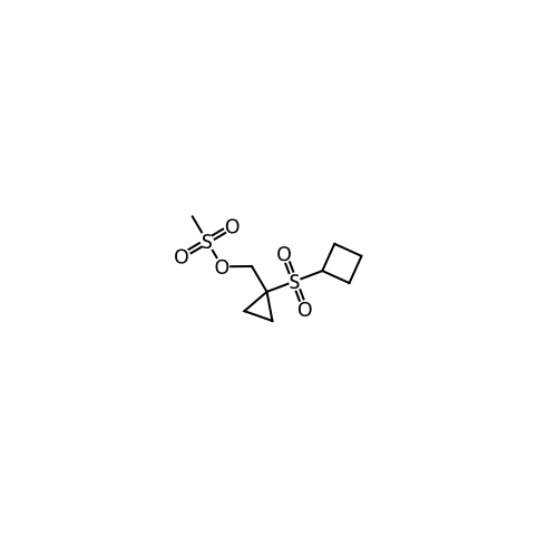 CS(=O)(=O)OCC1(S(=O)(=O)C2CCC2)CC1